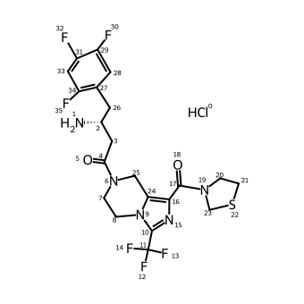 Cl.N[C@@H](CC(=O)N1CCn2c(C(F)(F)F)nc(C(=O)N3CCSC3)c2C1)Cc1cc(F)c(F)cc1F